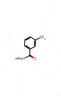 CCCCCC(=O)c1cccc(C(F)(F)F)c1